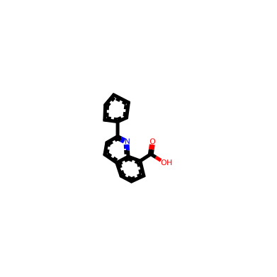 O=C(O)c1cccc2ccc(-c3ccccc3)nc12